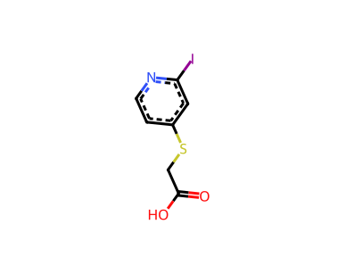 O=C(O)CSc1ccnc(I)c1